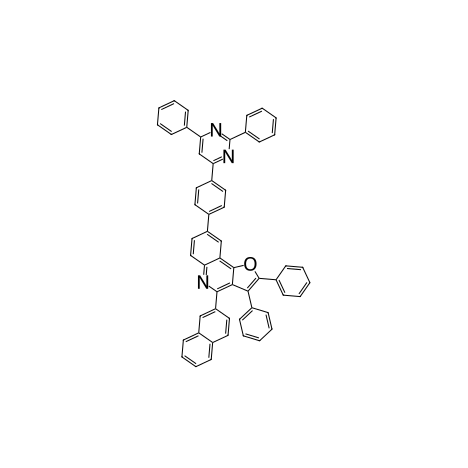 c1ccc(-c2cc(-c3ccc(-c4ccc5nc(-c6ccc7ccccc7c6)c6c(-c7ccccc7)c(-c7ccccc7)oc6c5c4)cc3)nc(-c3ccccc3)n2)cc1